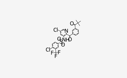 CC(C)(C)C(=O)c1cccc(C(=O)c2ncc(Cl)cc2NS(=O)(=O)c2ccc(Cl)c(C(F)(F)F)c2)c1